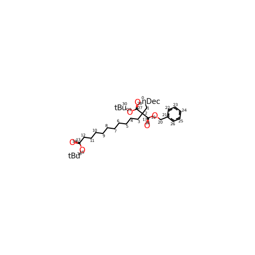 CCCCCCCCCCCC(CCCCCCCCCCC(=O)OC(C)(C)C)(C(=O)OCc1ccccc1)C(=O)OC(C)(C)C